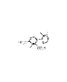 Cc1cccc(-c2ccc(C(=O)O)c(C)c2C(=O)O)c1C